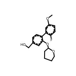 COc1ccc(F)c(-c2ccc(CO)cc2OC2CCCCO2)c1